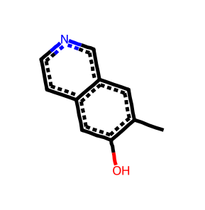 Cc1cc2cnccc2cc1O